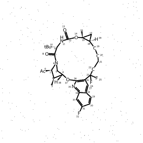 CC(=O)[C@@H]1[C@H](C)[C@@H]2CN1C(=O)[C@H](C(C)(C)C)NC(=O)O[C@]1(C)C[C@H]1CCCCC(F)(F)c1cc3ccc(F)cc3nc1O2